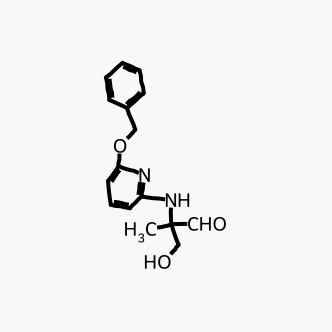 CC(C=O)(CO)Nc1cccc(OCc2ccccc2)n1